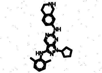 Cc1cccc(C)c1Nc1nn(C2CCCC2)c2nc(Nc3ccc4c(c3)CNCC4)ncc12